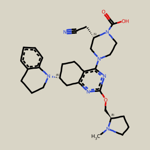 CN1CCC[C@@H]1COc1nc2c(c(N3CCN(C(=O)O)[C@@H](CC#N)C3)n1)CC[C@@H](N1CCCc3ccccc31)C2